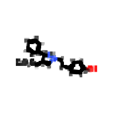 CCOC(=O)Cc1cn(CCc2ccc(O)cc2)nc1-c1ccccc1